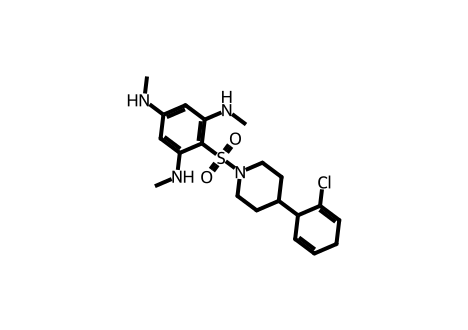 CNc1cc(NC)c(S(=O)(=O)N2CCC(C3C=CCC=C3Cl)CC2)c(NC)c1